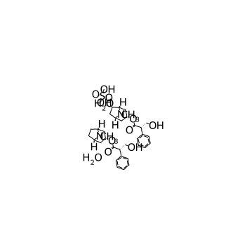 CN1[C@@H]2CC[C@H]1C[C@@H](OC(=O)[C@H](CO)c1ccccc1)C2.CN1[C@@H]2CC[C@H]1C[C@@H](OC(=O)[C@H](CO)c1ccccc1)C2.O.O.O=S(=O)(O)O